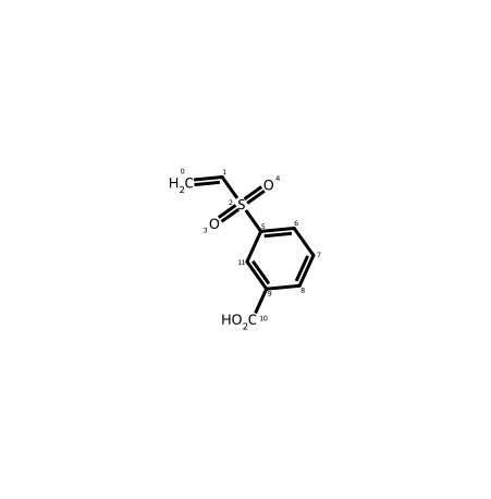 C=CS(=O)(=O)c1cccc(C(=O)O)c1